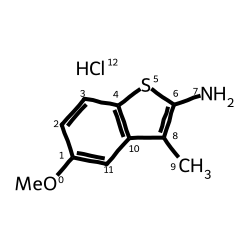 COc1ccc2sc(N)c(C)c2c1.Cl